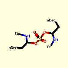 CCCCCCCCCCCC(NCC)OS(=O)(=O)OC(CCCCCCCCCCC)NCC